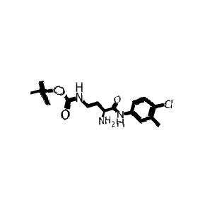 Cc1cc(NC(=O)[C@@H](N)CCNC(=O)OC(C)(C)C)ccc1Cl